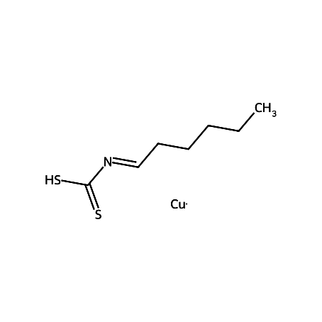 CCCCCC=NC(=S)S.[Cu]